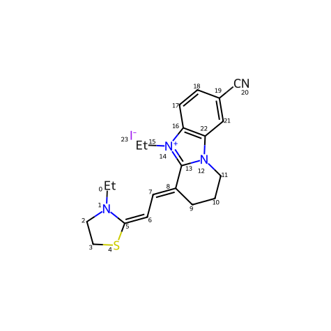 CCN1CCSC1=CC=C1CCCn2c1[n+](CC)c1ccc(C#N)cc12.[I-]